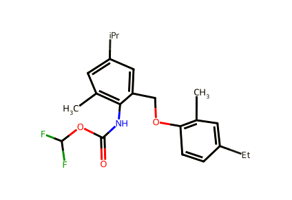 CCc1ccc(OCc2cc(C(C)C)cc(C)c2NC(=O)OC(F)F)c(C)c1